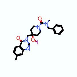 Cc1ccc2c(=O)n(CC3(OI)CCN(C(=O)N(C)Cc4ccccc4)CC3)cnc2c1